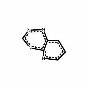 c1cnc2ncnnc2c1